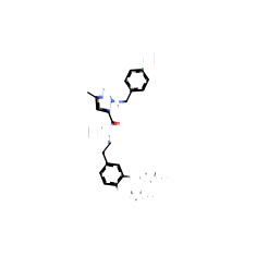 COc1ccc(CCNC(=O)c2cc(C)nn2Cc2ccc(Cl)cc2)cc1OC